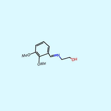 COc1cccc(/C=N/CCO)c1OC